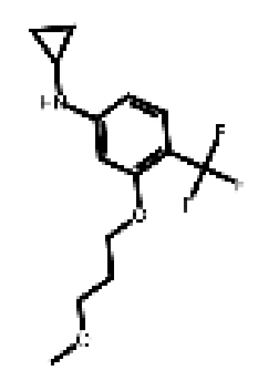 COCCCOc1cc(NC2CC2)ccc1C(F)(F)F